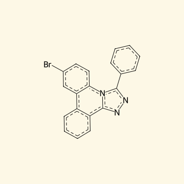 Brc1ccc2c(c1)c1ccccc1c1nnc(-c3ccccc3)n21